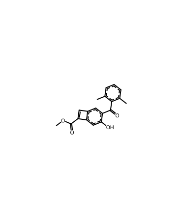 COC(=O)C1=Cc2cc(C(=O)c3c(C)cccc3C)c(O)cc21